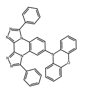 c1ccc(-c2nnc3c4nnc(-c5ccccc5)n4c4cc(N5c6ccccc6Oc6ccccc65)ccc4n23)cc1